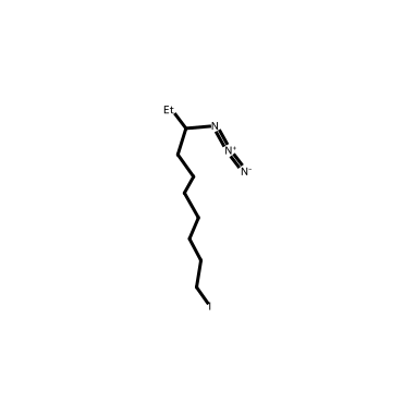 CCC(CCCCCCCI)N=[N+]=[N-]